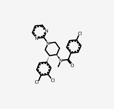 CN(C(=O)c1ccc(Cl)cc1)[C@@H]1CCN(c2ncccn2)C[C@H]1c1ccc(Cl)c(Cl)c1